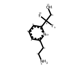 NCCc1cccc(C(F)(F)CO)n1